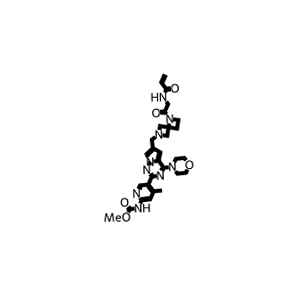 C=CC(=O)NCC(=O)N1CCC12CN(Cc1cc3c(N4CCOCC4)nc(-c4cnc(NC(=O)OC)cc4C)nn3c1)C2